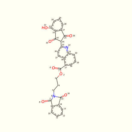 O=C(OCCCN1C(=O)c2ccccc2C1=O)c1cccc2nc(C3C(=O)c4cccc(O)c4C3=O)ccc12